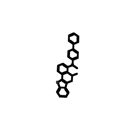 CC1Cc2c(oc3ccccc23)-c2cccc(N(C)c3ccc(-c4ccccc4)cc3)c21